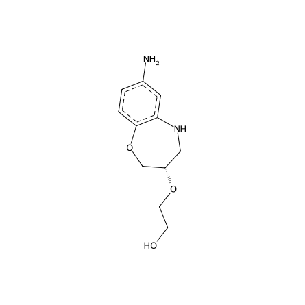 Nc1ccc2c(c1)NC[C@H](OCCO)CO2